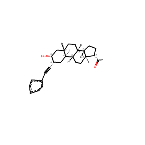 CC(=O)[C@H]1CC[C@H]2[C@@H]3CC[C@H]4C[C@H](O)[C@@H](C#Cc5ccccc5)C[C@]4(C)[C@H]3CC[C@]12C